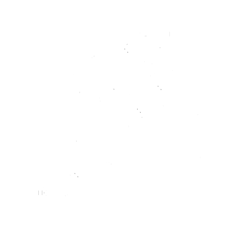 O=C(O)N1CCC(CCn2c(-c3ccccc3)nc3c(C(F)(F)F)nc4ccccc4c32)CC1